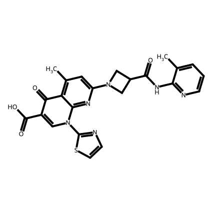 Cc1cccnc1NC(=O)C1CN(c2cc(C)c3c(=O)c(C(=O)O)cn(-c4nccs4)c3n2)C1